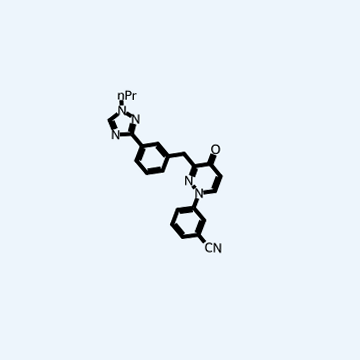 CCCn1cnc(-c2cccc(Cc3nn(-c4cccc(C#N)c4)ccc3=O)c2)n1